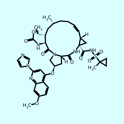 CC[C@@H]1C[C@H](C)CC/C=C\[C@@H]2C[C@@]2(C(=O)NS(=O)(=O)C2(C)CC2)NC(=O)[C@@H]2C[C@@H](Oc3cc(-n4ccnc4)nc4cc(OC)ccc34)CN2C(=O)[C@H]1NC(=O)O